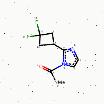 CNC(=O)n1ccnc1C1CC(F)(F)C1